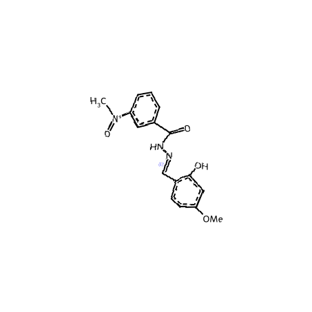 COc1ccc(/C=N/NC(=O)c2cccc([N+](C)=O)c2)c(O)c1